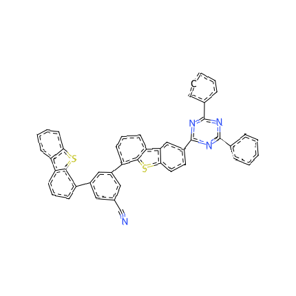 N#Cc1cc(-c2cccc3c2sc2ccccc23)cc(-c2cccc3c2sc2ccc(-c4nc(-c5ccccc5)nc(-c5ccccc5)n4)cc23)c1